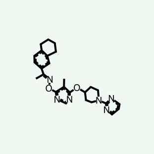 CC(=NOc1ncnc(OC2CCN(c3ncccn3)CC2)c1C)c1ccc2c(c1)CCCC2